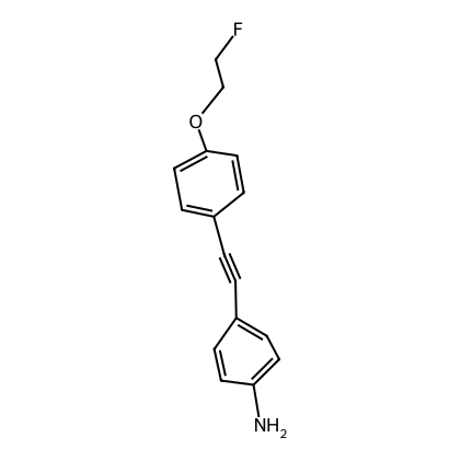 Nc1ccc(C#Cc2ccc(OCCF)cc2)cc1